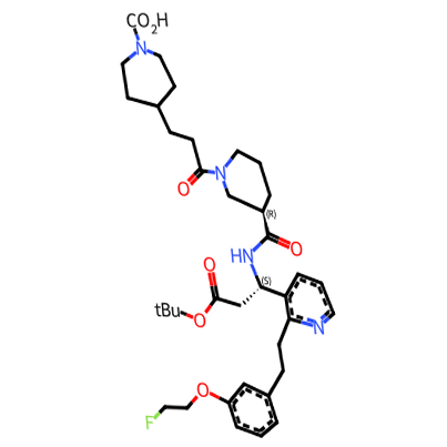 CC(C)(C)OC(=O)C[C@H](NC(=O)[C@@H]1CCCN(C(=O)CCC2CCN(C(=O)O)CC2)C1)c1cccnc1CCc1cccc(OCCF)c1